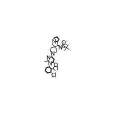 Cc1nc(N2CCC3(CC2)Cn2cccc2/C3=N\[S@+]([O-])C(C)(C)C)cc(=O)n1-c1cccc(Cl)c1Cl